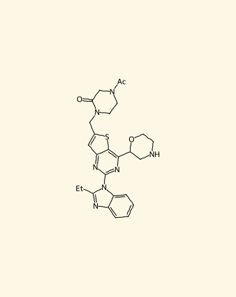 CCc1nc2ccccc2n1-c1nc(C2CNCCO2)c2sc(CN3CCN(C(C)=O)CC3=O)cc2n1